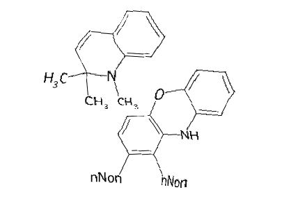 CCCCCCCCCc1ccc2c(c1CCCCCCCCC)Nc1ccccc1O2.CN1c2ccccc2C=CC1(C)C